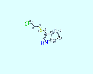 ClCCCSCc1c[nH]c2ccccc12